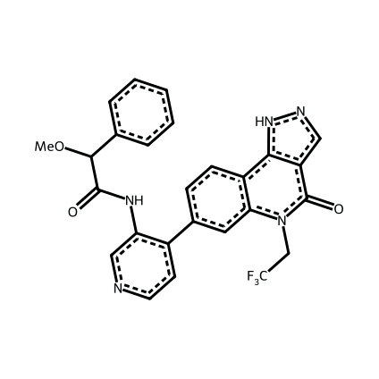 COC(C(=O)Nc1cnccc1-c1ccc2c3[nH]ncc3c(=O)n(CC(F)(F)F)c2c1)c1ccccc1